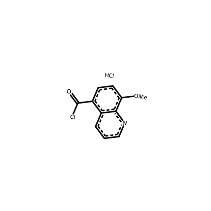 COc1ccc(C(=O)Cl)c2cccnc12.Cl